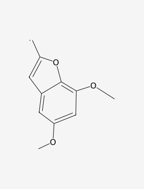 [CH2]c1cc2cc(OC)cc(OC)c2o1